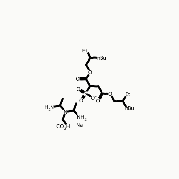 CC(N)N(CC(=O)O)C(C)N.CCCCC(CC)COC(=O)CC(C(=O)OCC(CC)CCCC)S(=O)(=O)[O-].[Na+]